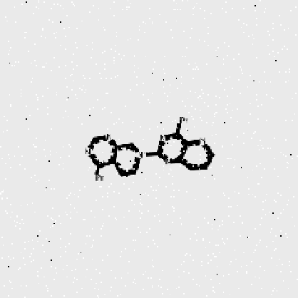 CC(C)c1ncnc2c[n+](-c3nc(C(C)C)c4ncccc4n3)ccc12